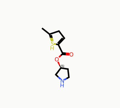 CC1=[SH]C(C(=O)O[C@H]2CCNC2)=CC1